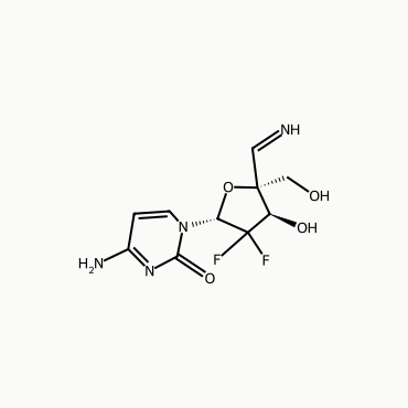 N=C[C@]1(CO)O[C@@H](n2ccc(N)nc2=O)C(F)(F)[C@@H]1O